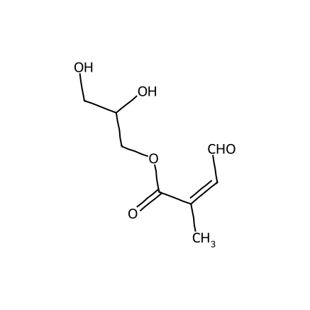 CC(=CC=O)C(=O)OCC(O)CO